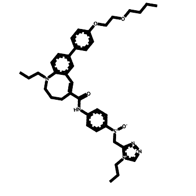 CCCCOCCOc1ccc(-c2ccc3c(c2)/C=C(/C(=O)Nc2ccc([S+]([O-])Cc4nncn4CCC)cc2)CCCN3CCC)cc1